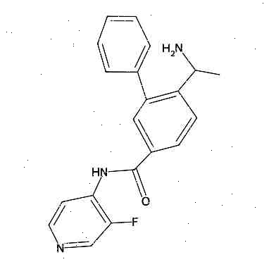 CC(N)c1ccc(C(=O)Nc2ccncc2F)cc1-c1ccccc1